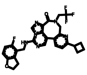 O=C1c2ncn3c(NCc4c(F)ccc5c4CCO5)ncc(c23)-c2ccc(C3CCC3)nc2CN1CC(F)(F)F